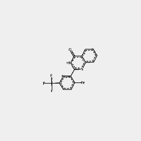 O=c1[nH]c(-c2nc(C(F)(F)F)ccc2Br)nc2ccccc12